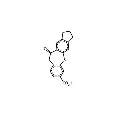 O=C(O)c1ccc2c(c1)Sc1cc3c(cc1C(=O)C2)CCC3